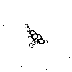 CC[C@H]1CCC2[C@H]3C(CC[C@@]21C)[C@@]1(C)CCC(OC=O)C[C@H]1C[C@@H]3OC=O